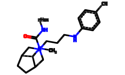 CCCCCCNC(=O)N(C)C1C2CCC1CN(CCCNc1ccc(C#N)cc1)C2